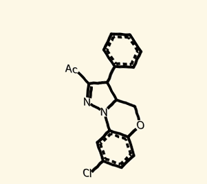 CC(=O)C1=NN2c3cc(Cl)ccc3OCC2C1c1ccccc1